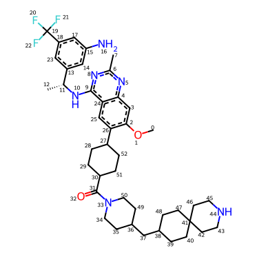 COc1cc2nc(C)nc(N[C@H](C)c3cc(N)cc(C(F)(F)F)c3)c2cc1C1CCC(C(=O)N2CCC(CC3CCC4(CCNCC4)CC3)CC2)CC1